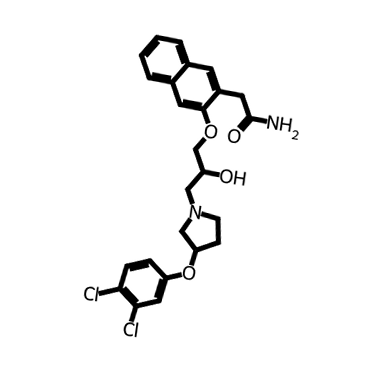 NC(=O)Cc1cc2ccccc2cc1OCC(O)CN1CCC(Oc2ccc(Cl)c(Cl)c2)C1